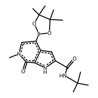 Cn1cc(B2OC(C)(C)C(C)(C)O2)c2cc(C(=O)NC(C)(C)C)[nH]c2c1=O